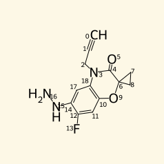 C#CCN1C(=O)C2(CC2)Oc2cc(F)c(NN)cc21